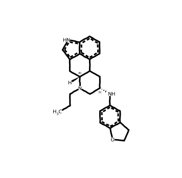 CCCN1C[C@@H](Nc2ccc3c(c2)CCO3)CC2c3cccc4[nH]cc(c34)C[C@H]21